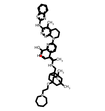 C/C(NCC1CC2(C)CC3(C)CC1CC(OCCN1CCCCCC1)(C2)C3)=C(/C=N)c1ccc(N2CCCc3c2nnc(Nc2nc4ccccc4s2)c3C)nc1C(=O)O